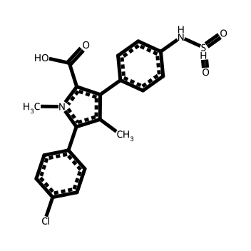 Cc1c(-c2ccc(N[SH](=O)=O)cc2)c(C(=O)O)n(C)c1-c1ccc(Cl)cc1